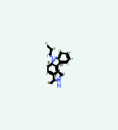 C=C1NCc2c1ccc1c2c2ccccc2n1CCC